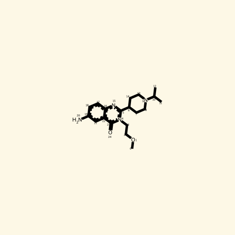 COCCn1c(C2CCN(C(C)C)CC2)nc2ccc(N)cc2c1=O